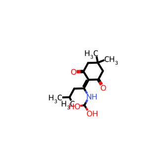 CC(C)CC(NC(O)O)=C1C(=O)CC(C)(C)CC1=O